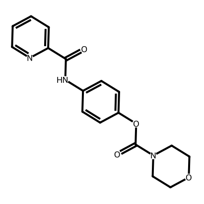 O=C(Nc1ccc(OC(=O)N2CCOCC2)cc1)c1ccccn1